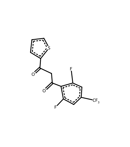 O=C(CC(=O)c1c(F)cc(C(F)(F)F)cc1F)c1cccs1